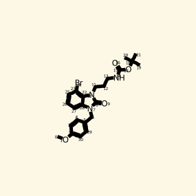 COc1ccc(Cn2c(=O)n(CCCNC(=O)OC(C)(C)C)c3c(Br)cccc32)cc1